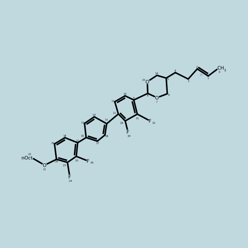 C/C=C/CCC1COC(c2ccc(-c3ccc(-c4ccc(OCCCCCCCC)c(F)c4F)cc3)c(F)c2F)OC1